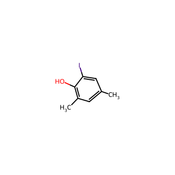 Cc1cc(C)c(O)c(I)c1